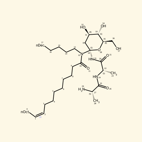 CCCCCCCC/C=C\CCCCCCCC(=O)N(CCCCCCCCCCCCCC)[C@@]1(NC(=O)[C@H](C)NC(=O)[C@H](C)N)C[C@@H](O)[C@H](O)[C@@H](CO)O1